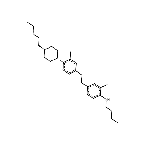 CCCCC[C@H]1CC[C@H](c2ccc(CCc3ccc(NCCCC)c(C)c3)cc2C)CC1